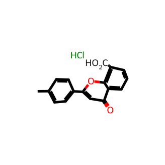 Cc1ccc(-c2cc(=O)c3cccc(C(=O)O)c3o2)cc1.Cl